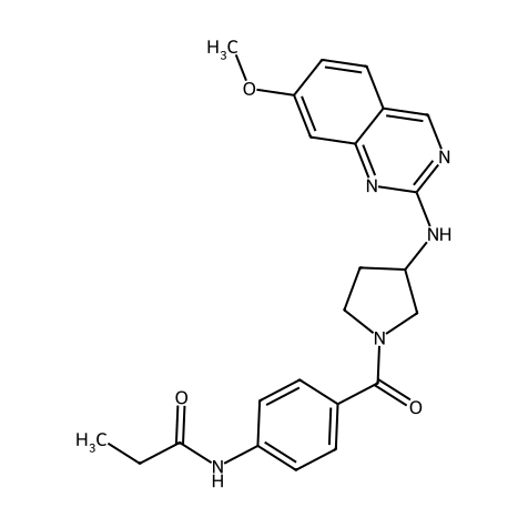 CCC(=O)Nc1ccc(C(=O)N2CCC(Nc3ncc4ccc(OC)cc4n3)C2)cc1